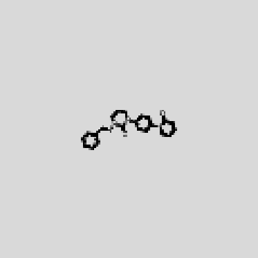 O=C1N(N=Cc2ccccc2)C=CCN1c1ccc(-n2ccccc2=O)cc1